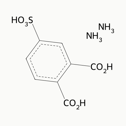 N.N.O=C(O)c1ccc(S(=O)(=O)O)cc1C(=O)O